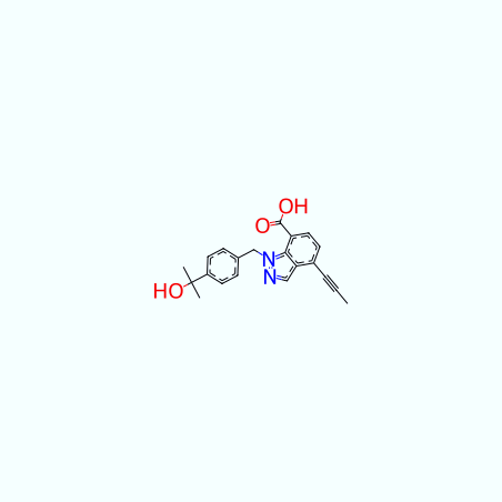 CC#Cc1ccc(C(=O)O)c2c1cnn2Cc1ccc(C(C)(C)O)cc1